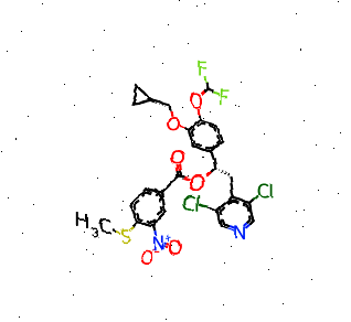 CSc1ccc(C(=O)O[C@@H](Cc2c(Cl)cncc2Cl)c2ccc(OC(F)F)c(OCC3CC3)c2)cc1[N+](=O)[O-]